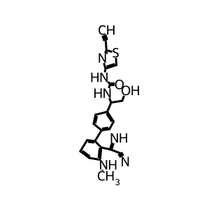 C#Cc1nc(NC(=O)NC(CO)c2ccc(-c3cccc(NC)c3C(=N)C#N)cc2)cs1